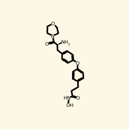 N[C@@H](Cc1ccc(Oc2ccc(CCC(=O)NO)cc2)cc1)C(=O)N1CCOCC1